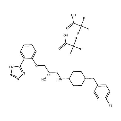 O=C(O)C(F)(F)F.O=C(O)C(F)(F)F.O[C@@H](CNC1CCN(Cc2ccc(Cl)cc2)CC1)COc1ccccc1-c1nnn[nH]1